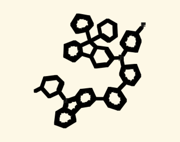 CC1C=CC=C(n2c3ccccc3c3cc(-c4cccc(-c5cccc(N(C6=CC7C(C=C6)c6ccccc6C7(C6=CC=CCC6)c6ccccc6)c6ccc(F)cc6)c5)c4)ccc32)C1